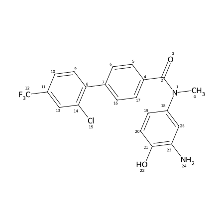 CN(C(=O)c1ccc(-c2ccc(C(F)(F)F)cc2Cl)cc1)c1ccc(O)c(N)c1